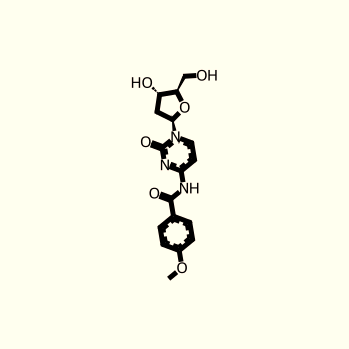 COc1ccc(C(=O)Nc2ccn([C@H]3C[C@H](O)[C@@H](CO)O3)c(=O)n2)cc1